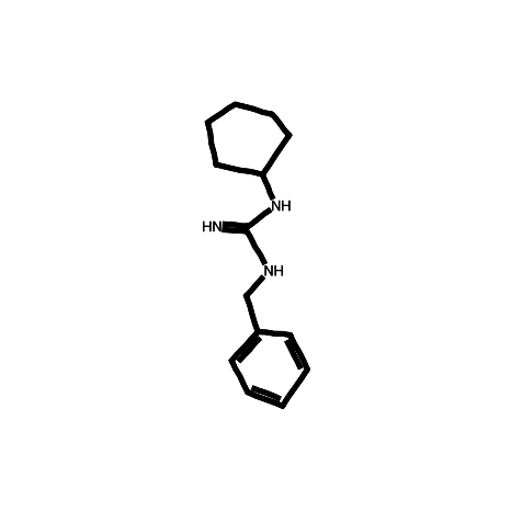 N=C(NCc1ccccc1)NC1CCCCC1